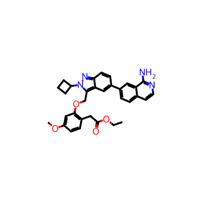 CCOC(=O)Cc1ccc(OC)cc1OCc1c2cc(-c3ccc4ccnc(N)c4c3)ccc2nn1C1CCC1